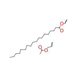 C=CCOC(C)=O.C=COC(=O)CCCCCCCCCCCCCCCCC